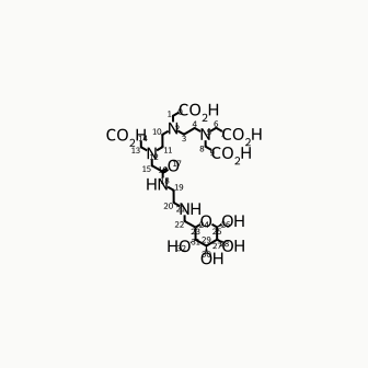 O=C(O)CN(CCN(CC(=O)O)CC(=O)O)CCN(CC(=O)O)CC(=O)NCCNCC1O[C@@H](O)C(O)[C@@H](O)[C@@H]1O